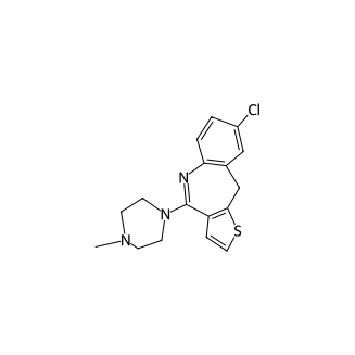 CN1CCN(C2=Nc3ccc(Cl)cc3Cc3sccc32)CC1